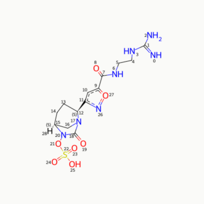 N=C(N)NCCNC(=O)c1cc([C@@H]2CC[C@H]3CN2C(=O)N3OS(=O)(=O)O)no1